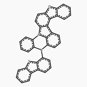 c1ccc2c(c1)N(c1cccc3c1sc1ccccc13)c1cccc3c4c5c(ccc4n-2c13)oc1ccccc15